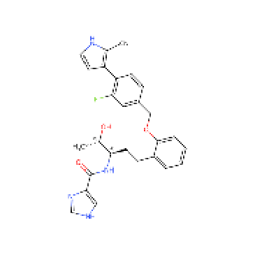 C[C@H](O)[C@@H](CCc1ccccc1OCc1ccc(-c2cc[nH]c2C#N)c(F)c1)NC(=O)c1c[nH]cn1